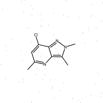 Cc1cc(Cl)c2nn(C)c(C)c2n1